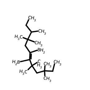 B/C(CC(C)(C)C(C)CC)=C(/B)C(C)(C)CC(C)(C)CC